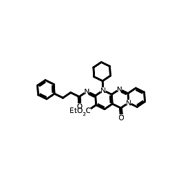 CCOC(=O)c1cc2c(=O)n3ccccc3nc2n(C2CCCCC2)/c1=N/C(=O)CCc1ccccc1